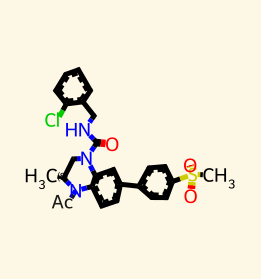 CC(=O)N1c2ccc(-c3ccc(S(C)(=O)=O)cc3)cc2N(C(=O)NCc2ccccc2Cl)C[C@@H]1C